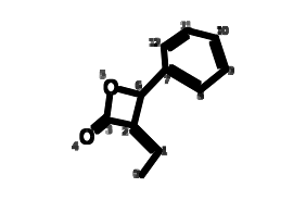 CC=C1C(=O)OC1c1ccccc1